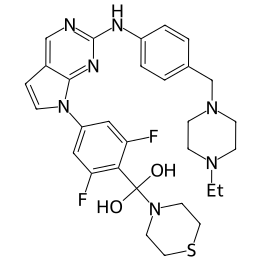 CCN1CCN(Cc2ccc(Nc3ncc4ccn(-c5cc(F)c(C(O)(O)N6CCSCC6)c(F)c5)c4n3)cc2)CC1